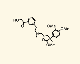 COC(=O)C(C)(CCCN(C)CCc1cccc(C(=O)CO)c1)c1ccc(OC)c(OC)c1